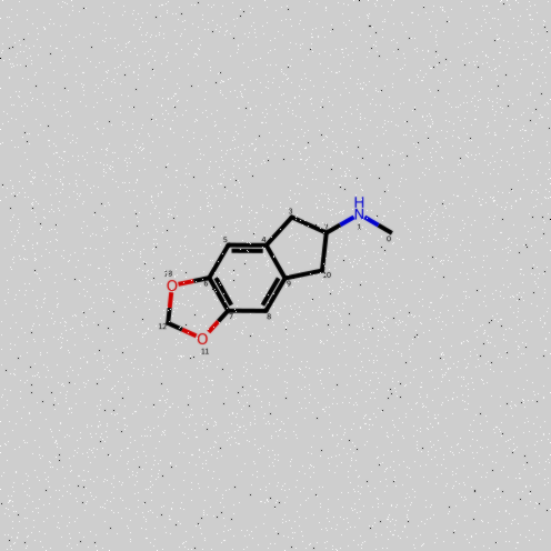 CNC1Cc2cc3c(cc2C1)OCO3